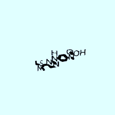 CCc1nc(C)c(-c2ccnc(Nc3ccc(N(C)C(=O)O)cc3)n2)s1